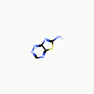 Nc1nc2nncnc2s1